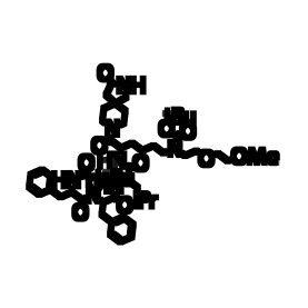 COCCOCCN(CCCCC(NC(=O)C(CC(C)C)NC(=O)C(Cc1ccccc1)NC(=O)C(Cc1ccccc1)NC(=O)OC(C)(C)C)C(=O)N1CCC2(CC1)CNC(=O)C2)C(=O)OC(C)(C)C